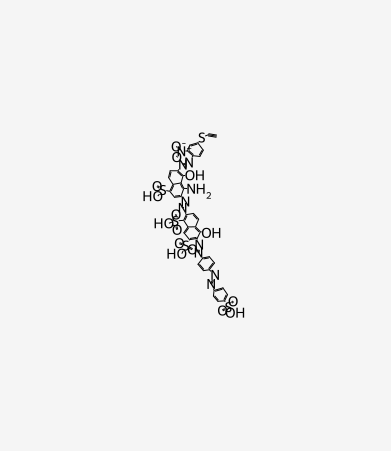 C#CSc1ccc(N=Nc2ccc3c(S(=O)O)cc(N=Nc4ccc5c(O)c(N=Nc6ccc(N=Nc7ccc(S(=O)(=O)O)cc7)cc6)c(S(=O)(=O)O)cc5c4S(=O)(=O)O)c(N)c3c2O)c([N+](=O)[O-])c1